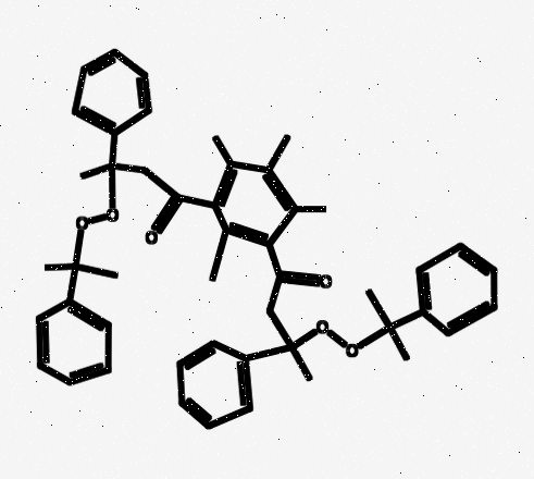 Cc1c(C)c(C(=O)CC(C)(OOC(C)(C)c2ccccc2)c2ccccc2)c(C)c(C(=O)CC(C)(OOC(C)(C)c2ccccc2)c2ccccc2)c1C